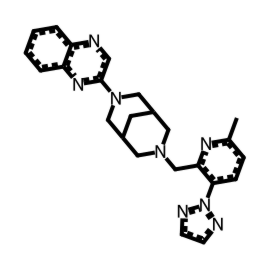 Cc1ccc(-n2nccn2)c(CN2CC3CC(C2)CN(c2cnc4ccccc4n2)C3)n1